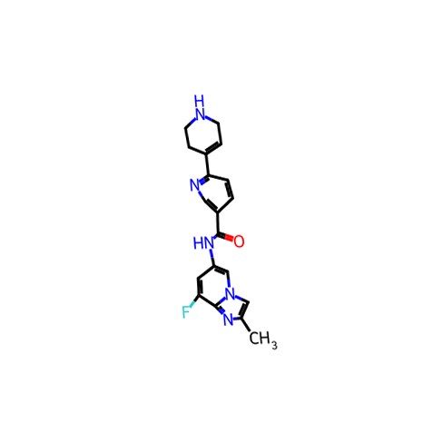 Cc1cn2cc(NC(=O)c3ccc(C4=CCNCC4)nc3)cc(F)c2n1